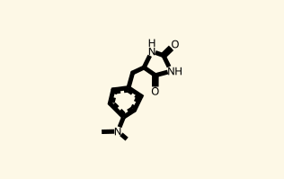 CN(C)c1ccc(CC2NC(=O)NC2=O)cc1